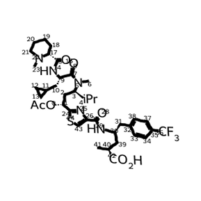 CC(=O)O[C@H](C[C@H](C(C)C)N(C)C(=O)[C@H](CC1CC1)NC(=O)[C@H]1CCCCN1C)c1nc(C(=O)N[C@@H](Cc2ccc(C(F)(F)F)cc2)C[C@H](C)C(=O)O)cs1